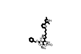 Cc1cc(-c2cccc(CCCC3CC(C(NC=O)[C@H](NC(=O)OCc4ccccc4)C(=O)OC(C)(C)C)=NO3)n2)c(C)[nH]1